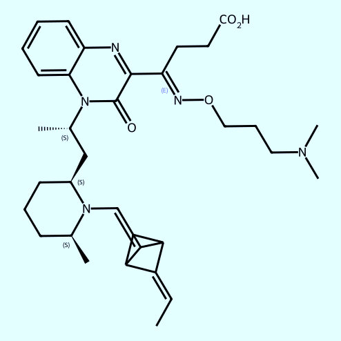 CC=C1C2CC1C2=CN1[C@H](C[C@H](C)n2c(=O)c(/C(CCC(=O)O)=N/OCCCN(C)C)nc3ccccc32)CCC[C@@H]1C